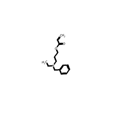 C=CC(=O)OCCCN(CC)Cc1ccccc1